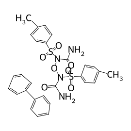 Cc1ccc(S(=O)(=O)N(ON(C(N)=O)S(=O)(=O)c2ccc(C)cc2)C(N)=O)cc1.c1ccc(-c2ccccc2)cc1